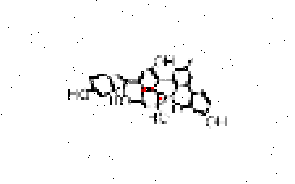 Cc1cc2c3c(c1)-c1c(O)cc(-c4cc5ccc(O)cc5o4)cc1OC3(c1ccc(O)cc1O)Oc1cc(O)ccc1-2